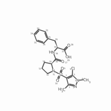 Cc1nn(C)c(Cl)c1S(=O)(=O)N1CCC[C@H]1C(=O)N[C@@H](Cc1ccccc1)C(=O)O